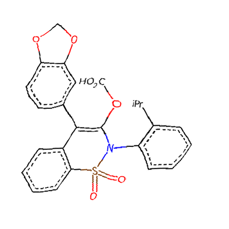 CC(C)c1ccccc1N1C(OC(=O)O)=C(c2ccc3c(c2)OCO3)c2ccccc2S1(=O)=O